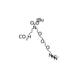 CC(C)(C)OC(=O)N(CCCC(=O)O)CCOCCOCCOCCN=[N+]=[N-]